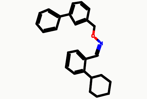 [C](=N/OCc1cccc(-c2ccccc2)c1)/c1ccccc1C1CCCCC1